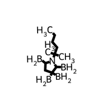 BC1CC(B)(B)C(B)N1C(C)(C)CCCC